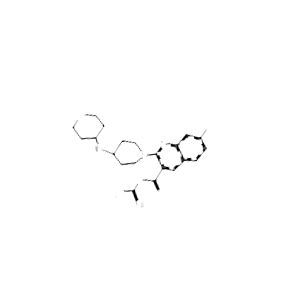 CC(=N)NC(=O)c1cc2ccc(C)cc2nc1N1CCC(NC2CCOCC2)CC1